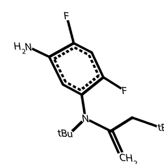 C=C(CC(C)(C)C)N(c1cc(N)c(F)cc1F)C(C)(C)C